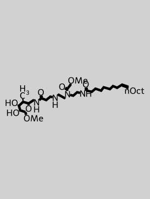 CCCCCCCC/C=C\CCCCCCCC(=O)NCCN(CCNCCC(=O)NCC1OC(OC)[C@@H](O)[C@H](O)[C@H]1C)C(=O)COC